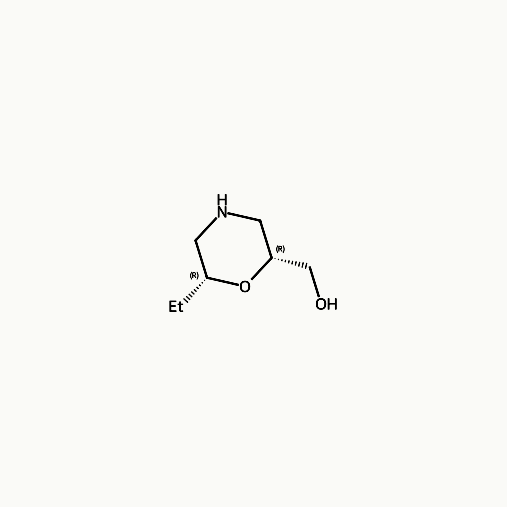 CC[C@@H]1CNC[C@H](CO)O1